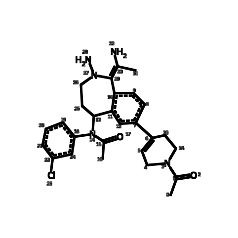 CC(=O)N1CC=C(c2ccc3c(c2)C(N(C(C)=O)c2cccc(Cl)c2)CCN(N)/C3=C(/C)N)CC1